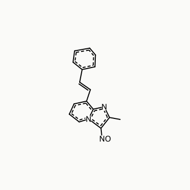 Cc1nc2c(C=Cc3ccccc3)cccn2c1N=O